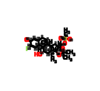 CC1(C)O[C@@H]2C[C@H]3[C@@H]4CCC5=CC(=O)C(F)=C[C@]5(C)[C@H]4[C@@H](O)C[C@]3(C)[C@]2(C(=O)COS(C)(=O)=O)O1